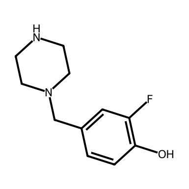 Oc1ccc(CN2CCNCC2)cc1F